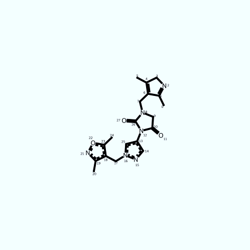 CC1=NCC(C)=C1CN1CC(=O)N(c2cnn(Cc3c(C)noc3C)c2)C1=O